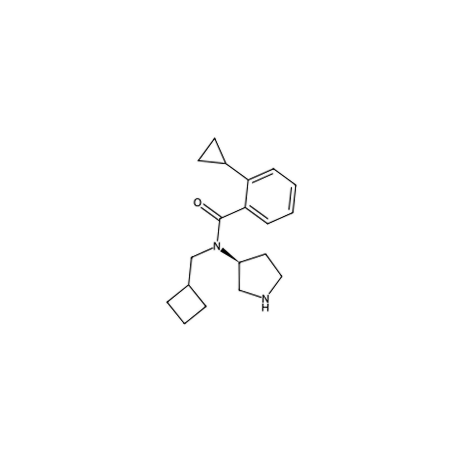 O=C(c1ccccc1C1CC1)N(CC1CCC1)[C@H]1CCNC1